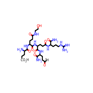 [3H]C(=O)CCC(NC(=O)C(CCC(=O)NC(CCCNC(=N)N)C(N)=O)NC(=O)C(CCC(=O)NCCO)NC(=O)C(N)CCC(=O)O)C(N)=O